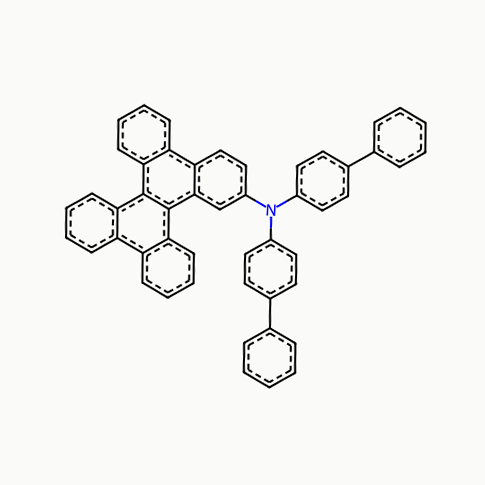 c1ccc(-c2ccc(N(c3ccc(-c4ccccc4)cc3)c3ccc4c5ccccc5c5c6ccccc6c6ccccc6c5c4c3)cc2)cc1